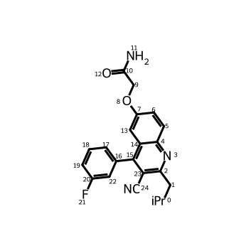 CC(C)Cc1nc2ccc(OCC(N)=O)cc2c(-c2cccc(F)c2)c1C#N